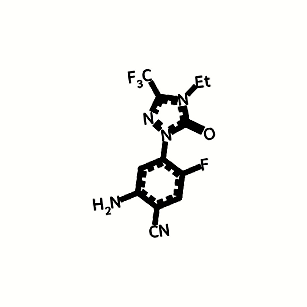 CCn1c(C(F)(F)F)nn(-c2cc(N)c(C#N)cc2F)c1=O